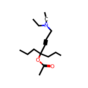 CCCC(C#CCN(CC)CC)(CCC)OC(C)=O